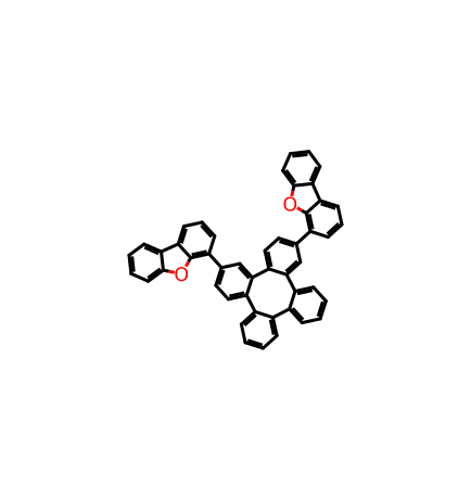 c1ccc2c(c1)-c1ccccc1-c1cc(-c3cccc4c3oc3ccccc34)ccc1-c1cc(-c3cccc4c3oc3ccccc34)ccc1-2